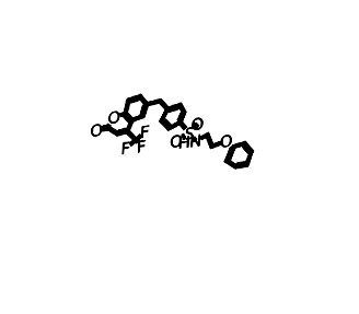 O=c1cc(C(F)(F)F)c2cc(Cc3ccc(S(=O)(=O)NCCOc4ccccc4)cc3)ccc2o1